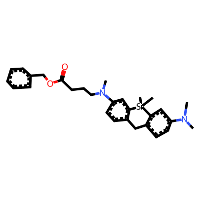 CN(C)c1ccc2c(c1)[Si](C)(C)c1cc(N(C)CCCC(=O)OCc3ccccc3)ccc1C2